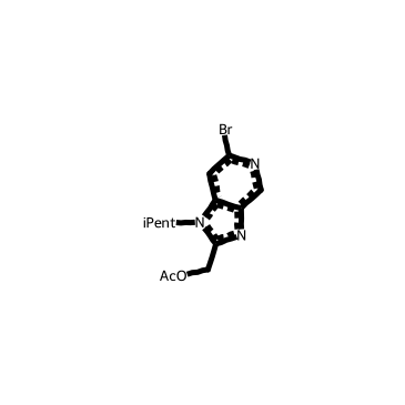 CCCC(C)n1c(COC(C)=O)nc2cnc(Br)cc21